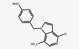 COc1ccc(Cn2ccc3c(Cl)ncc(C(=O)O)c32)cc1